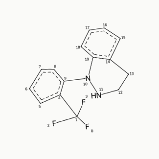 FC(F)(F)c1ccccc1N1NCCc2ccccc21